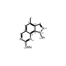 CSc1ncc2cc(C)c3cnn(C(C)C)c3c2n1